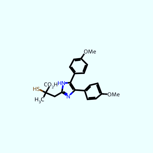 COc1ccc(-c2nc(CC(C)(S)C(=O)O)[nH]c2-c2ccc(OC)cc2)cc1